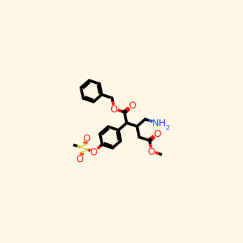 COC(=O)CC(CN)C(C(=O)OCc1ccccc1)c1ccc(OS(C)(=O)=O)cc1